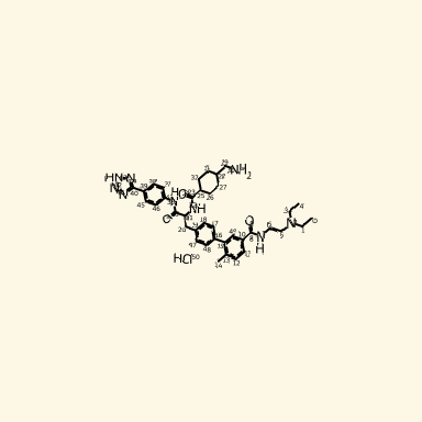 CCN(CC)CCNC(=O)c1ccc(C)c(-c2ccc(C[C@H](NC(=O)C3CCC(CN)CC3)C(=O)Nc3ccc(-c4nn[nH]n4)cc3)cc2)c1.Cl